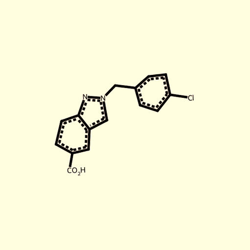 O=C(O)c1ccc2nn(Cc3ccc(Cl)cc3)cc2c1